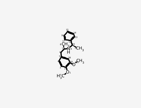 COc1ccc(C[C@@H](C)N[C@H](C)c2ccccc2)cc1OC